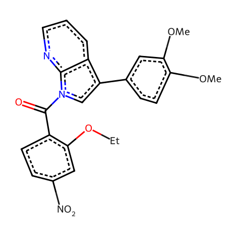 CCOc1cc([N+](=O)[O-])ccc1C(=O)n1cc(-c2ccc(OC)c(OC)c2)c2cccnc21